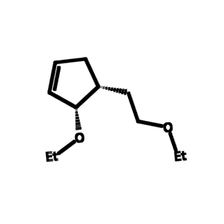 CCOCC[C@H]1CC=C[C@H]1OCC